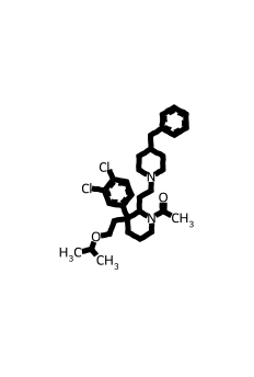 CC(=O)N1CCCC(CCOC(C)C)(c2ccc(Cl)c(Cl)c2)C1CCN1CCC(Cc2ccccc2)CC1